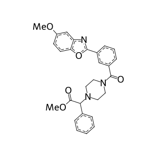 COC(=O)C(c1ccccc1)N1CCN(C(=O)c2cccc(-c3nc4cc(OC)ccc4o3)c2)CC1